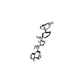 Cc1cccc2c(Nc3ccnc(Nc4cccc(C5CNCCO5)c4)n3)cnnc12